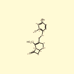 CC(C)(C)c1ccc(SCC2=C(C(=O)O)N3C(=O)CC3SC2)[n+]([O-])n1